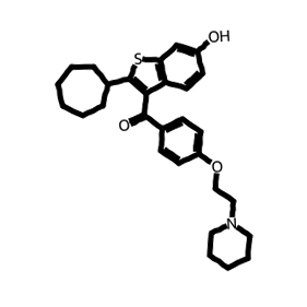 O=C(c1ccc(OCCN2CCCCC2)cc1)c1c(C2CCCCCC2)sc2cc(O)ccc12